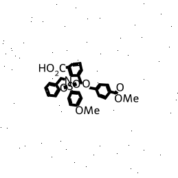 COC(=O)c1ccc(COCc2cccc(C(=O)O)c2N(Cc2ccccc2)S(=O)(=O)c2ccc(OC)cc2)cc1